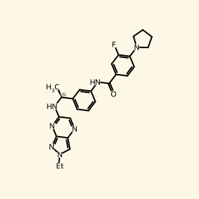 CCn1cc2ncc(N[C@@H](C)c3cccc(NC(=O)c4ccc(N5CCCC5)c(F)c4)c3)nc2n1